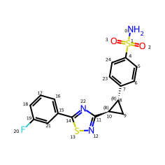 NS(=O)(=O)c1ccc([C@@H]2C[C@H]2c2nsc(-c3cccc(F)c3)n2)cc1